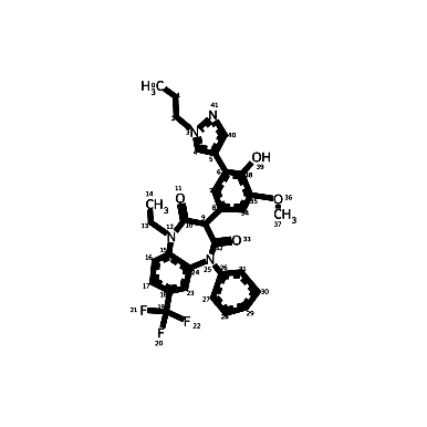 CCCn1cc(-c2cc(C3C(=O)N(CC)c4ccc(C(F)(F)F)cc4N(c4ccccc4)C3=O)cc(OC)c2O)cn1